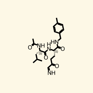 CC(=O)N[C@@H](CC(C)C)C(=O)N[C@@H](CCC(=O)C=N)C(=O)NCc1ccc(C)cc1